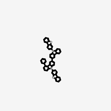 c1ccc(-c2cccc3c2c2cc(-c4ccc5c(c4)c4ccccc4n5-c4ccc5c(c4)oc4ccccc45)ccc2n3-c2ccc3c(c2)oc2ccccc23)cc1